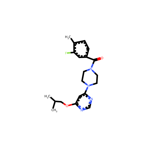 Cc1ccc(C(=O)N2CCN(c3cc(OCC(C)C)ncn3)CC2)cc1F